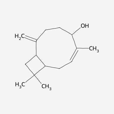 C=C1CCC(O)/C(C)=C\CC2C1CC2(C)C